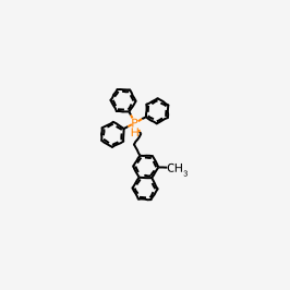 Cc1cc(CC[PH](c2ccccc2)(c2ccccc2)c2ccccc2)cc2ccccc12